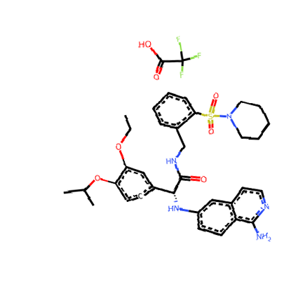 CCOc1cc([C@@H](Nc2ccc3c(N)nccc3c2)C(=O)NCc2ccccc2S(=O)(=O)N2CCCCC2)ccc1OC(C)C.O=C(O)C(F)(F)F